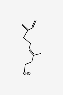 C=CC(=C)CCC=C(C)CCC=O